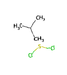 CC(C)C.ClSCl